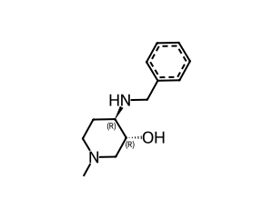 CN1CC[C@@H](NCc2ccccc2)[C@H](O)C1